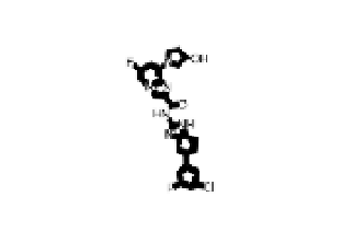 O=C(Nc1nc2cc(-c3cc(F)cc(Cl)c3)ccc2[nH]1)c1cn2cc(F)cc(N3CC[C@@H](O)C3)c2n1